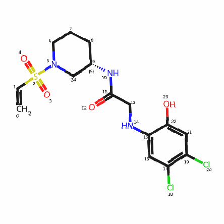 C=CS(=O)(=O)N1CCC[C@H](NC(=O)CNc2cc(Cl)c(Cl)cc2O)C1